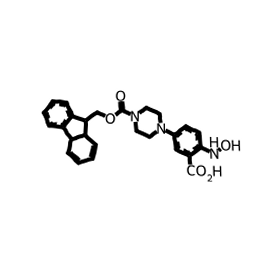 O=C(O)c1cc(N2CCN(C(=O)OCC3c4ccccc4C4C=CC=CC43)CC2)ccc1NO